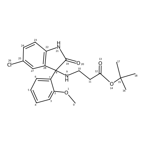 COc1ccccc1C1(NCCC(=O)OC(C)(C)C)C(=O)Nc2ccc(Cl)cc21